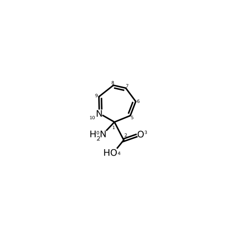 NC1(C(=O)O)C=CC=CC=N1